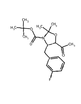 CC(=O)C1OC(C)(C)N(C(=O)OC(C)(C)C)C1Cc1cccc(F)c1